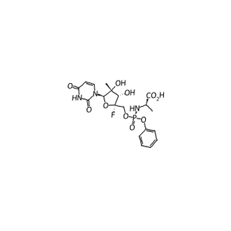 C[C@@H](N[P@@](=O)(OC[C@@]1(F)O[C@@H](n2ccc(=O)[nH]c2=O)[C@](C)(O)[C@@H]1O)Oc1ccccc1)C(=O)O